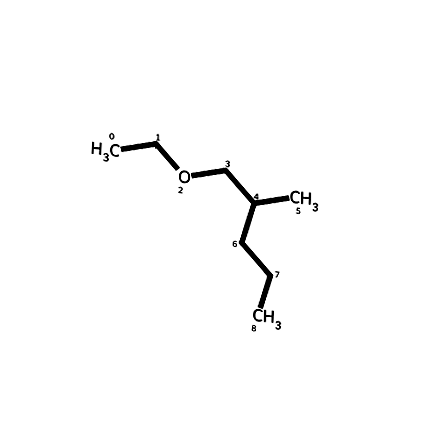 C[CH]OCC(C)CCC